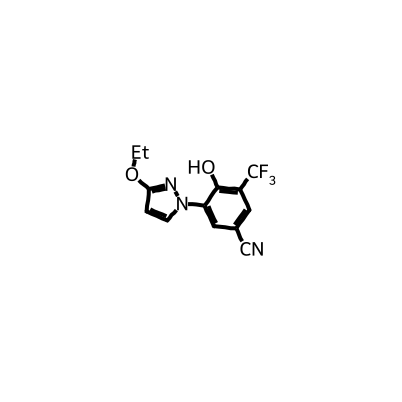 CCOc1ccn(-c2cc(C#N)cc(C(F)(F)F)c2O)n1